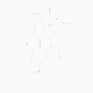 N[C@H]1CS(=O)(=O)c2ccc(-c3nnc(C4(C5CC5)CCCO4)o3)cc2N(Cc2ccc(-c3noc(C(F)(F)F)n3)cc2)C1=O